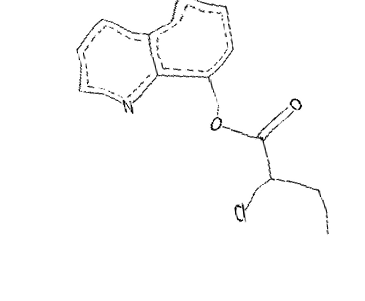 CCC(Cl)C(=O)Oc1cccc2cccnc12